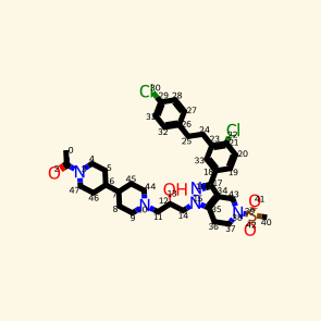 CC(=O)N1CCC(C2CCN(C[C@H](O)Cn3nc(-c4ccc(Cl)c(CCc5ccc(Cl)cc5)c4)c4c3CCN(S(C)(=O)=O)C4)CC2)CC1